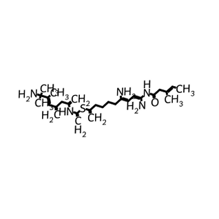 C=C(/C=C(\C)C(C)(C)N)CC(=C)NC(=C)SC(=C)CCCC/C(N)=C/C=C(\N)NC(=O)C/C(C)=C/C